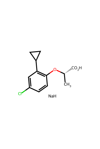 C[C@H](Oc1ccc(Cl)cc1C1CC1)C(=O)O.[NaH]